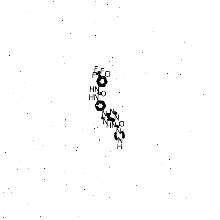 O=C(Nc1ccc(-n2cnc3c(NC(=O)N4CCNCC4)ncnc32)cc1)Nc1ccc(Cl)c(C(F)(F)F)c1